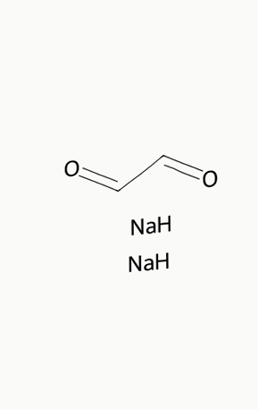 O=CC=O.[NaH].[NaH]